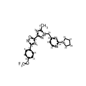 Cc1nc(-c2nc(-c3ccc(OC(F)(F)F)cc3)no2)nn1Cc1ccnc(N2CCCC2)n1